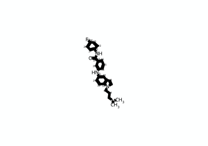 CN(C)CCCn1ccc2cc(Nc3cccc(C(=O)Nc4ccc(F)cc4)c3)ccc21